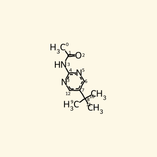 CC(=O)Nc1ncc(C(C)(C)C)cn1